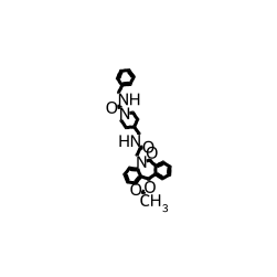 CC(=O)OC1c2ccccc2C(=O)N(CC(=O)NCC2CCN(C(=O)NCc3ccccc3)CC2)c2ccccc21